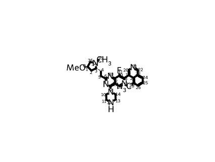 CO[C@@H]1C[C@@H](CCc2nc(N3CCNCC3)c3cnc(-c4cncc5cccc(C)c45)c(F)c3n2)N(C)C1